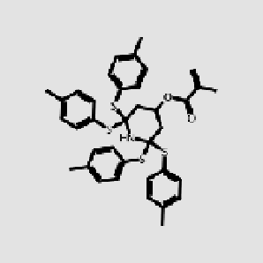 C=C(C)C(=O)OC1CC(Sc2ccc(C)cc2)(Sc2ccc(C)cc2)NC(Sc2ccc(C)cc2)(Sc2ccc(C)cc2)C1